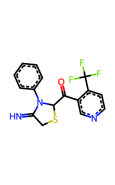 N=C1CSC(C(=O)c2cnccc2C(F)(F)F)N1c1ccccc1